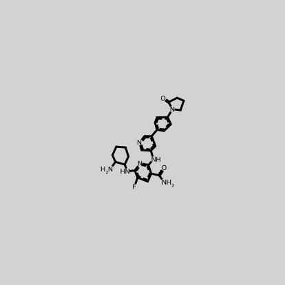 NC(=O)c1cc(F)c(NC2CCCCC2N)nc1Nc1cncc(-c2ccc(N3CCCC3=O)cc2)c1